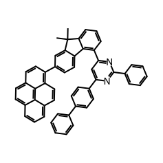 CC1(C)c2cc(-c3ccc4ccc5cccc6ccc3c4c56)ccc2-c2c(-c3cc(-c4ccc(-c5ccccc5)cc4)nc(-c4ccccc4)n3)cccc21